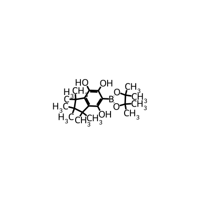 CC1(C)OB(c2c(O)c(O)c3c(c2O)C(C)(C)C(C)(C)C3(C)C)OC1(C)C